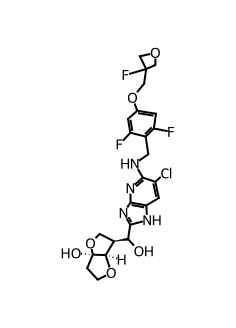 OC(c1nc2nc(NCc3c(F)cc(OCC4(F)COC4)cc3F)c(Cl)cc2[nH]1)[C@@H]1CO[C@]2(O)CCO[C@H]12